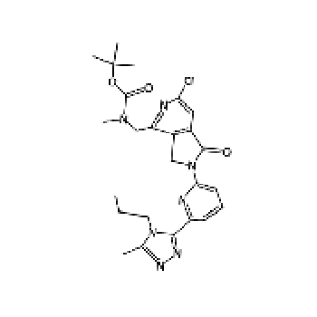 CCCn1c(C)nnc1-c1cccc(N2Cc3c(cc(Cl)nc3CN(C)C(=O)OC(C)(C)C)C2=O)n1